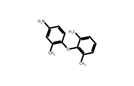 Cc1cc([N+](=O)[O-])ccc1Oc1c(C)cccc1C